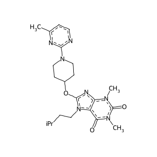 Cc1ccnc(N2CCC(Oc3nc4c(c(=O)n(C)c(=O)n4C)n3CCC(C)C)CC2)n1